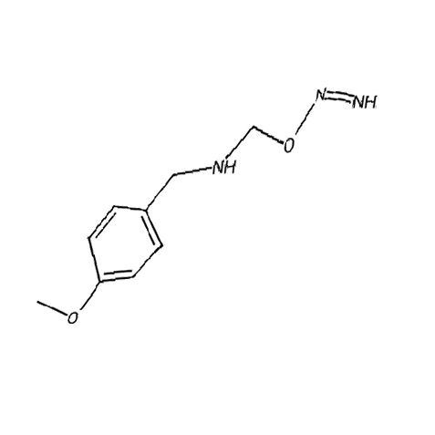 COc1ccc(CNCON=N)cc1